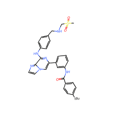 CC(C)(C)c1ccc(C(=O)Nc2cccc(-c3cn4ccnc4c(Nc4ccc(CNCS(C)(=O)=O)cc4)n3)c2)cc1